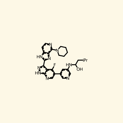 CC(C)CC(O)Nc1cncc(-c2cnc3[nH]nc(-c4nc5c(N6CCCCC6)nccc5[nH]4)c3c2F)c1